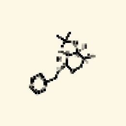 CC1(C)O[C@@H]2[C@H](OCc3ccccc3)OC[C@H](O)[C@@H]2O1